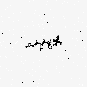 COCCNCC(=O)OC(C)(C)C